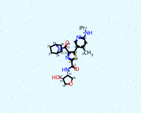 Cc1cc(NC(C)C)ncc1-c1sc(C(=O)N[C@@H]2COC[C@H]2O)nc1C(=O)N1C2CCC1CC2